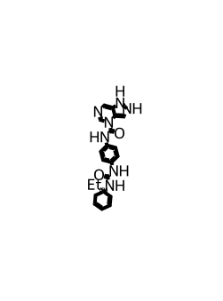 CC[C@]1(NC(=O)Nc2ccc(NC(=O)N3C=NC=C4NNC=C43)cc2)C=CC=CC1